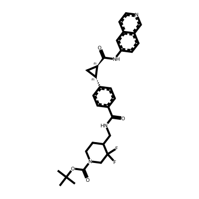 CC(C)(C)OC(=O)N1CCC(CNC(=O)c2ccc([C@@H]3C[C@H]3C(=O)Nc3ccc4cnccc4c3)cc2)C(F)(F)C1